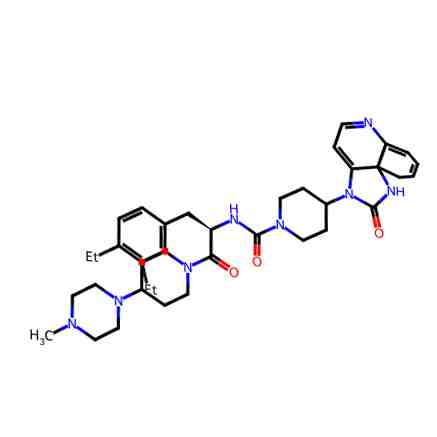 CCc1ccc(C[C@@H](NC(=O)N2CCC(N3C(=O)NC45CC=CC=C4N=CC=C35)CC2)C(=O)N2CCC(N3CCN(C)CC3)CC2)cc1CC